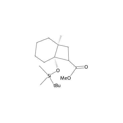 COC(=O)C1C[C@]2(C)CCCC[C@]12O[Si](C)(C)C(C)(C)C